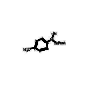 CCCCCN(C(C)=O)c1ccc(C)cc1